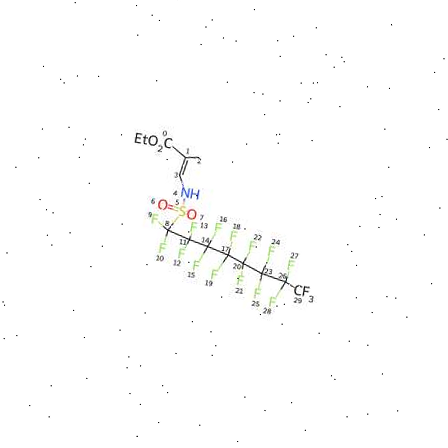 CCOC(=O)C(C)=CNS(=O)(=O)C(F)(F)C(F)(F)C(F)(F)C(F)(F)C(F)(F)C(F)(F)C(F)(F)C(F)(F)F